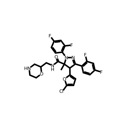 CC1(C(=O)NCC2CNCCO2)C(c2ccc(Cl)o2)C(c2ccc(F)cc2F)=NN1c1ccc(F)cc1F